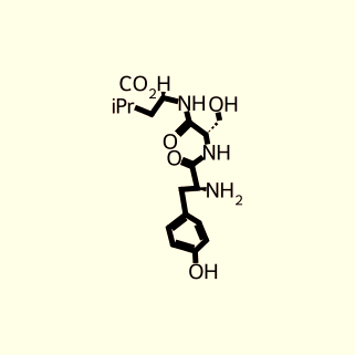 CC(C)C[C@H](NC(=O)[C@H](CO)NC(=O)[C@@H](N)Cc1ccc(O)cc1)C(=O)O